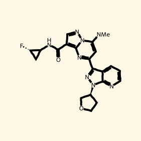 CNc1cc(-c2nn([C@H]3CCOC3)c3ncccc23)nc2c(C(=O)NC3C[C@@H]3F)cnn12